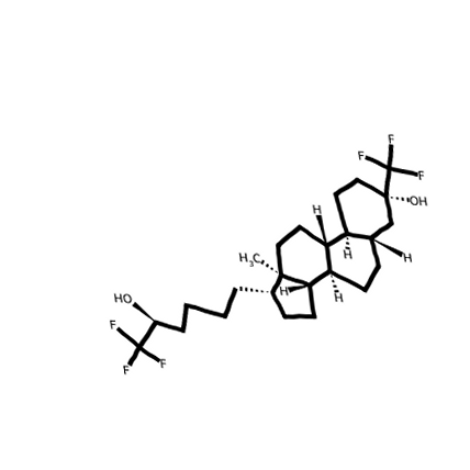 C[C@]12CC[C@H]3[C@@H](CC[C@H]4C[C@](O)(C(F)(F)F)CC[C@@H]43)[C@@H]1CC[C@@H]2CCCC[C@H](O)C(F)(F)F